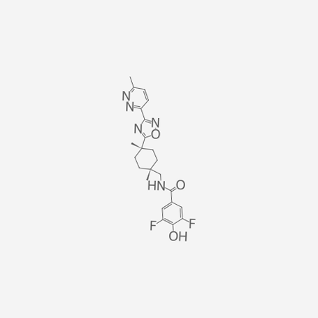 Cc1ccc(-c2noc([C@]3(C)CC[C@](C)(CNC(=O)c4cc(F)c(O)c(F)c4)CC3)n2)nn1